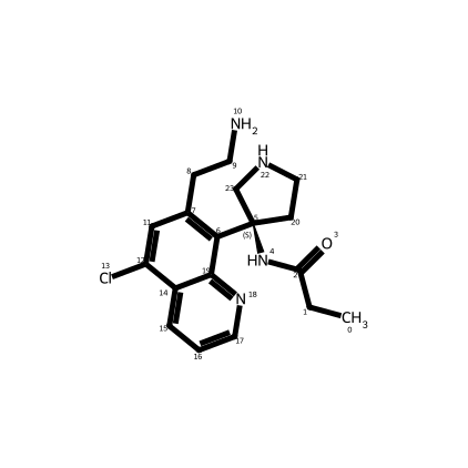 CCC(=O)N[C@]1(c2c(CCN)cc(Cl)c3cccnc23)CCNC1